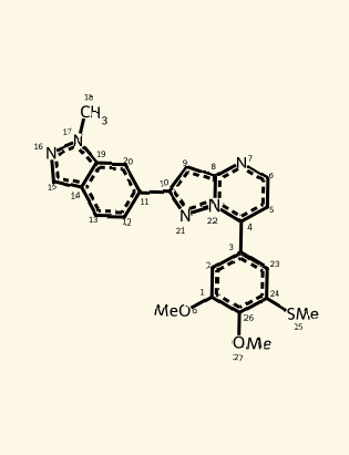 COc1cc(-c2ccnc3cc(-c4ccc5cnn(C)c5c4)nn23)cc(SC)c1OC